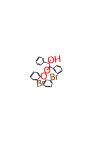 Brc1ccccc1Oc1ccccc1Br.O=C(c1ccccc1)C(O)c1ccccc1